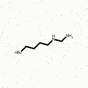 CCCCCCCCNCN